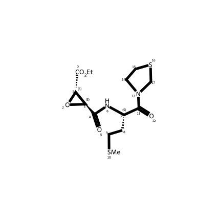 CCOC(=O)[C@H]1O[C@@H]1C(=O)N[C@@H](CCSC)C(=O)N1CCSC1